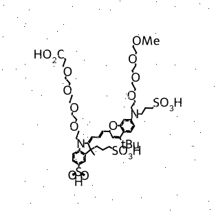 COCCOCCOCCOCCN(CCCS(=O)(=O)O)c1ccc2c(c1)OC(/C=C/C=C1/N(CCOCCOCCOCCOCCC(=O)O)c3ccc([SH](=O)=O)cc3C1(C)CCCS(=O)(=O)O)C=C2C(C)(C)C